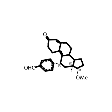 CO[C@H]1CCC2C3CCC4=CC(=O)CCC4=C3[C@@H](c3ccc(C=O)cc3)C[C@@]21C